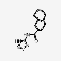 O=C(Nc1nnn[nH]1)c1ccc2ccccc2c1